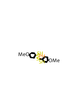 COc1ccc(C2(S)PS(S)(c3ccc(OC)cc3)S2)cc1